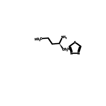 N[C@@H](CCC(=O)O)C(=O)O.c1nncs1